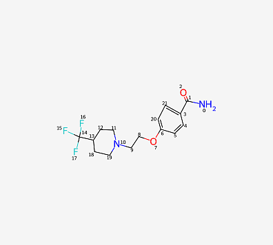 NC(=O)c1ccc(OCCN2CCC(C(F)(F)F)CC2)cc1